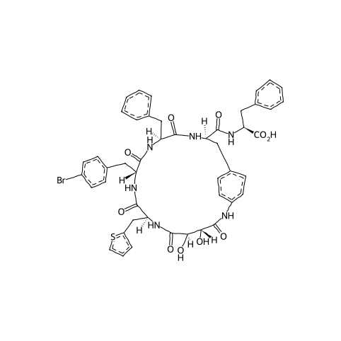 O=C(O)[C@H](Cc1ccccc1)NC(=O)[C@H]1Cc2ccc(cc2)NC(=O)[C@H](O)[C@@H](O)C(=O)N[C@@H](Cc2cccs2)C(=O)N[C@H](Cc2ccc(Br)cc2)C(=O)N[C@@H](Cc2ccccc2)C(=O)N1